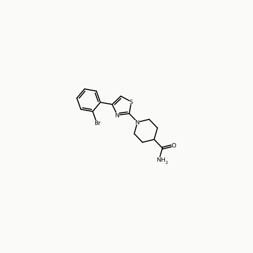 NC(=O)C1CCN(c2nc(-c3ccccc3Br)cs2)CC1